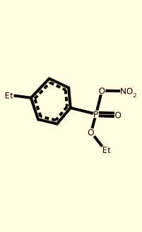 CCOP(=O)(O[N+](=O)[O-])c1ccc(CC)cc1